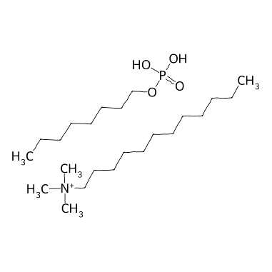 CCCCCCCCCCCC[N+](C)(C)C.CCCCCCCCOP(=O)(O)O